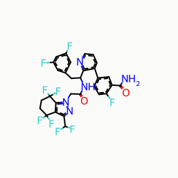 NC(=O)c1cc(-c2cccnc2C(Cc2cc(F)cc(F)c2)NC(=O)Cn2nc(C(F)F)c3c2C(F)(F)CCC3(F)F)ccc1F